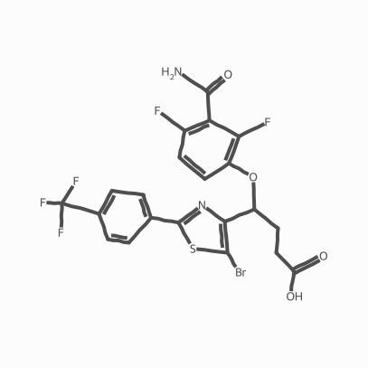 NC(=O)c1c(F)ccc(OC(CCC(=O)O)c2nc(-c3ccc(C(F)(F)F)cc3)sc2Br)c1F